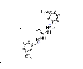 O=C(N/N=C/c1cccc(C(F)(F)F)c1)N/N=C/c1cccc(C(F)(F)F)c1